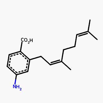 CC(C)=CCC/C(C)=C\Cc1cc(N)ccc1C(=O)O